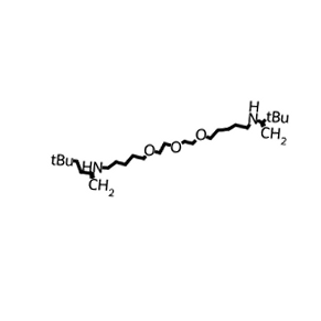 C=C(CCC(C)(C)C)NCCCCCOCCOCCOCCCCCNC(=C)C(C)(C)C